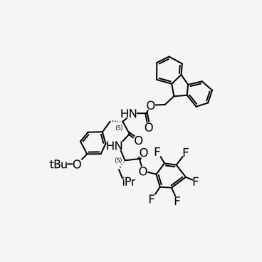 CC(C)C[C@H](NC(=O)[C@H](Cc1ccc(OC(C)(C)C)cc1)NC(=O)OCC1c2ccccc2-c2ccccc21)C(=O)Oc1c(F)c(F)c(F)c(F)c1F